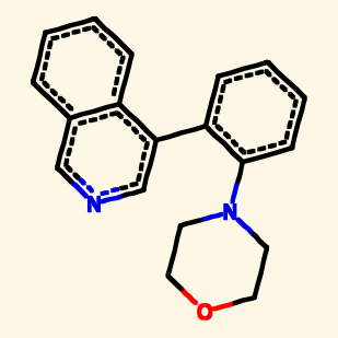 c1ccc(N2CCOCC2)c(-c2cncc3ccccc23)c1